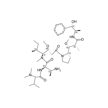 CC[C@H](C)[C@@H]([C@@H](CC(=O)N1CCC[C@H]1[C@H](OC)[C@@H](C)C(=O)N[C@H](C)[C@@H](O)c1ccccc1)OC)N(C)C(=O)[C@H](NC(=O)C(C(C)C)N(C)C)[C@H](C)N